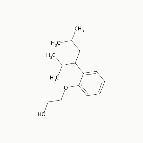 CC(C)CC(c1ccccc1OCCO)C(C)C